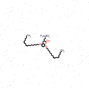 CCCCC/C=C\C/C=C\CCCCCCCCOc1ccc(OCCCCCCCC/C=C\C/C=C\CCCCC)c(CC(CCN(C)C)C(=O)O)c1